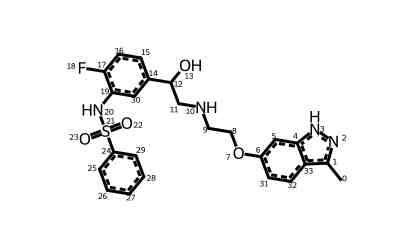 Cc1n[nH]c2cc(OCCNCC(O)c3ccc(F)c(NS(=O)(=O)c4ccccc4)c3)ccc12